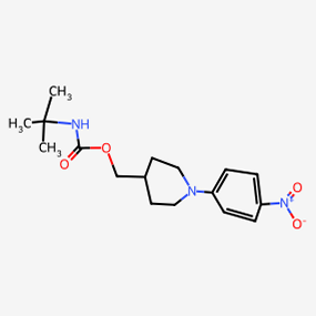 CC(C)(C)NC(=O)OCC1CCN(c2ccc([N+](=O)[O-])cc2)CC1